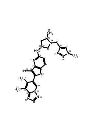 Cc1c(-c2[nH]c3ccc(N[C@H]4C[C@@H](C)N(Cc5cn(C)nn5)C4)nc3c2C(C)C)cn2ncnc2c1C